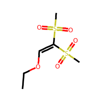 CCOC=C(S(C)(=O)=O)S(C)(=O)=O